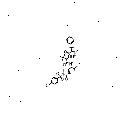 CNC(C(=O)NC(C(=O)N(C)C(C=C(C)C(=O)NS(=O)(=O)c1ccc(Cl)cc1)C(C)C)C(C)(C)C)C(C)(C)c1ccccc1